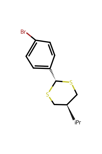 CC(C)[C@H]1CS[C@H](c2ccc(Br)cc2)SC1